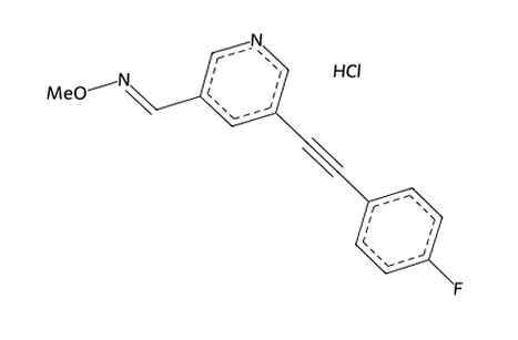 CON=Cc1cncc(C#Cc2ccc(F)cc2)c1.Cl